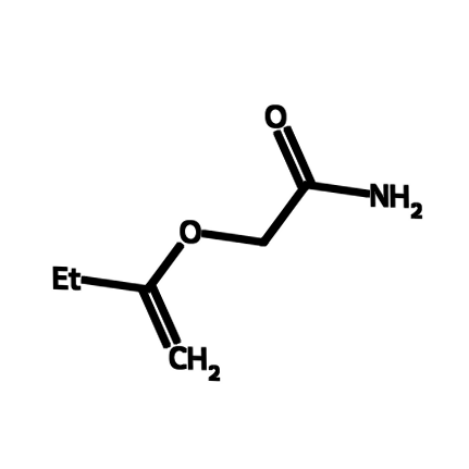 C=C(CC)OCC(N)=O